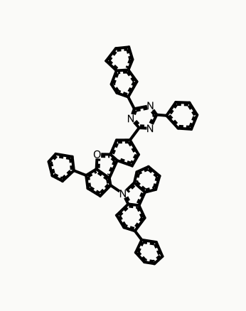 c1ccc(-c2ccc3c(c2)c2ccccc2n3-c2ccc(-c3ccccc3)c3oc4cc(-c5nc(-c6ccccc6)nc(-c6ccc7ccccc7c6)n5)ccc4c23)cc1